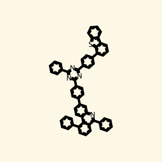 c1ccc(-c2nc(-c3ccc(-c4ccc5c(c4)nc(-c4ccccc4)c4cccc(-c6ccccc6)c45)cc3)nc(-c3ccc(-c4cccc5c4sc4ccccc45)cc3)n2)cc1